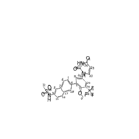 COc1c(-c2ccc3cc(NS(C)(=O)=O)ccc3c2)cc(-n2ccc(=O)[nH]c2=O)cc1C(F)(F)F